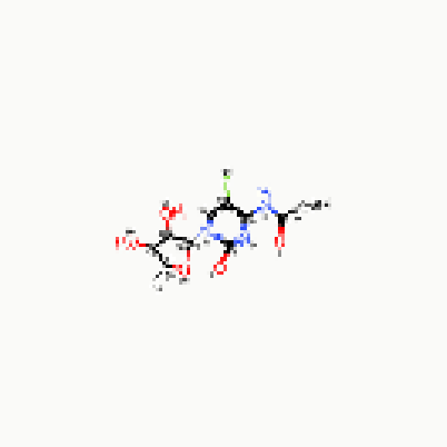 CCCCCCC(=O)Nc1nc(=O)n([C@@H]2O[C@H](C)C(O)C2O)cc1F